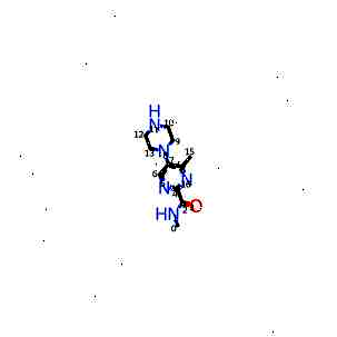 CNC(=O)c1ncc(N2CCNCC2)c(C)n1